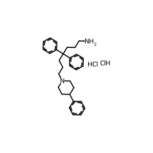 Cl.Cl.NCCCC(CCCN1CCC(c2ccccc2)CC1)(c1ccccc1)c1ccccc1